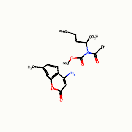 CCCCOC(=O)N(C(=O)CC)C(CCSC)C(=O)O.Cc1ccc2c(N)cc(=O)oc2c1